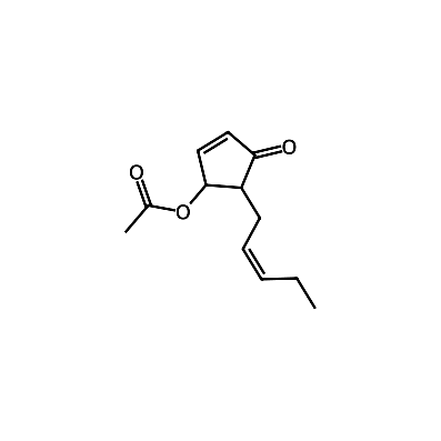 CC/C=C\CC1C(=O)C=CC1OC(C)=O